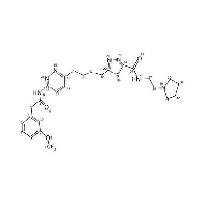 O=C(Cc1cccc(OC(F)(F)F)c1)Nc1ccc(CCCCc2nnc(C(=O)NCCN3CCCC3)s2)nn1